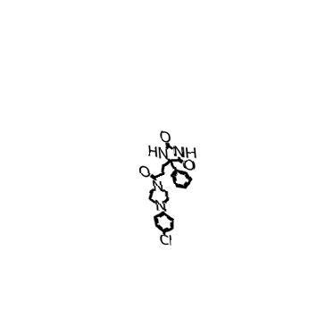 O=C1NC(=O)C(CCC(=O)N2CCN(c3ccc(Cl)cc3)CC2)(c2ccccc2)N1